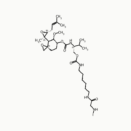 COC1C(OC(=O)N[C@@H](COC(=O)NCCCCCCNC(=O)CNI)C(C)C)CC[C@]2(CO2)C1[C@@]1(C)O[C@@H]1CC=C(C)C